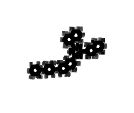 c1ccc(-c2ccc(-c3ccc4ccc(-c5nc(-c6ccc7ccccc7c6)nc(-c6cccc7ccccc67)n5)cc4c3)cc2)cc1